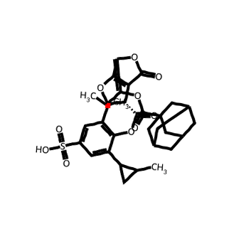 CC(C)c1cc(S(=O)(=O)O)cc(C2CC2C)c1OC(=O)[C@H]1C2=C3OC1C(OC(=O)C14CC5CC(CC(C5)C1)C4)=C3OC2=O